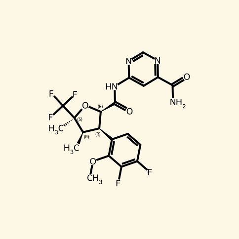 COc1c([C@H]2[C@@H](C)[C@@](C)(C(F)(F)F)O[C@H]2C(=O)Nc2cc(C(N)=O)ncn2)ccc(F)c1F